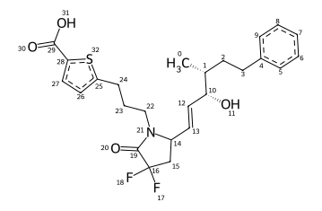 C[C@H](CCc1ccccc1)[C@H](O)C=CC1CC(F)(F)C(=O)N1CCCc1ccc(C(=O)O)s1